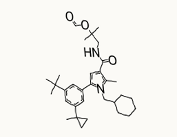 Cc1c(C(=O)NCC(C)(C)OC=O)cc(-c2cc(C(C)(C)C)cc(C3(C)CC3)c2)n1CC1CCCCC1